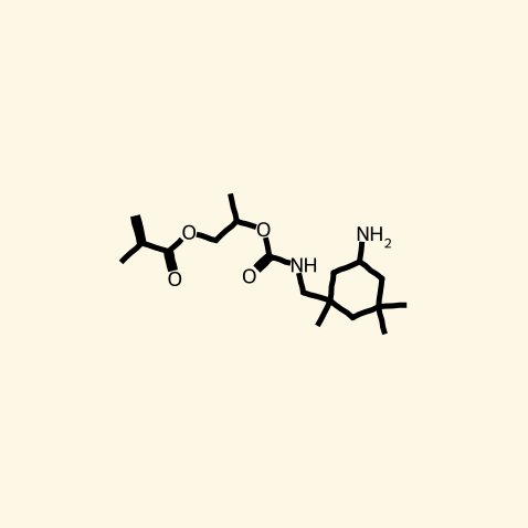 C=C(C)C(=O)OCC(C)OC(=O)NCC1(C)CC(N)CC(C)(C)C1